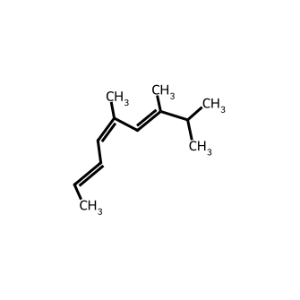 C/C=C/C=C(C)\C=C(/C)C(C)C